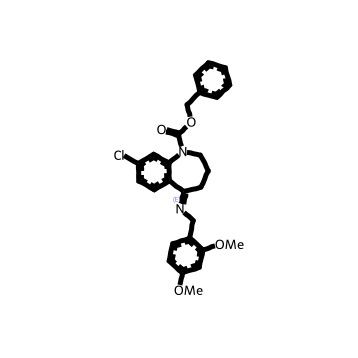 COc1ccc(C/N=C2\CCCN(C(=O)OCc3ccccc3)c3cc(Cl)ccc32)c(OC)c1